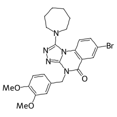 COc1ccc(Cn2c(=O)c3cc(Br)ccc3n3c(N4CCCCCC4)nnc23)cc1OC